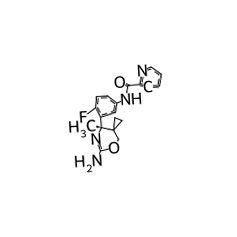 C[C@]1(c2cc(NC(=O)c3ccccn3)ccc2F)N=C(N)OCC12CC2